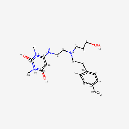 Cn1c(NCCN(CCCO)CCc2ccc([N+](=O)[O-])cc2)cc(=O)n(C)c1=O